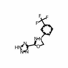 FC(F)(F)c1cc[c]c(N2COC(c3nn[nH]n3)=N2)c1